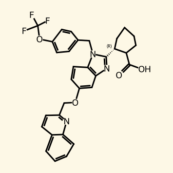 O=C(O)C1CCCC[C@H]1c1nc2cc(OCc3ccc4ccccc4n3)ccc2n1Cc1ccc(OC(F)(F)F)cc1